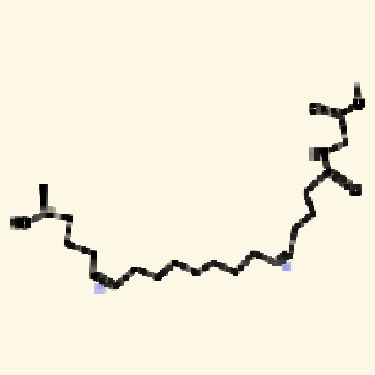 COC(=O)CNC(=O)CCC/C=C\CCCCCCC/C=C\CCC[C@H](C)O